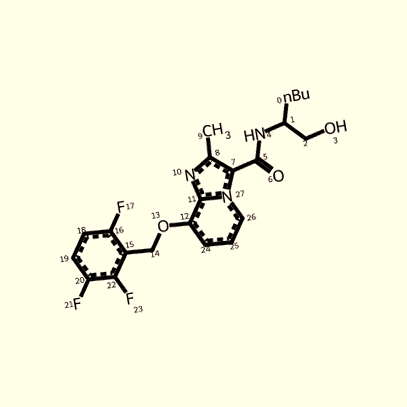 CCCCC(CO)NC(=O)c1c(C)nc2c(OCc3c(F)ccc(F)c3F)cccn12